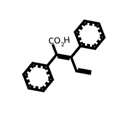 C=C/C(=C(/C(=O)O)c1ccccc1)c1ccccc1